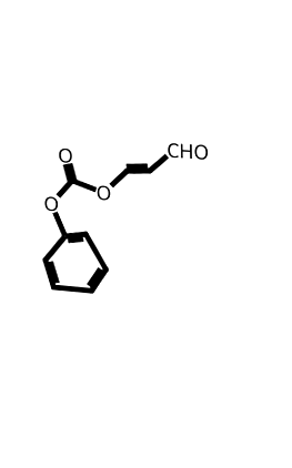 O=CC=COC(=O)Oc1ccccc1